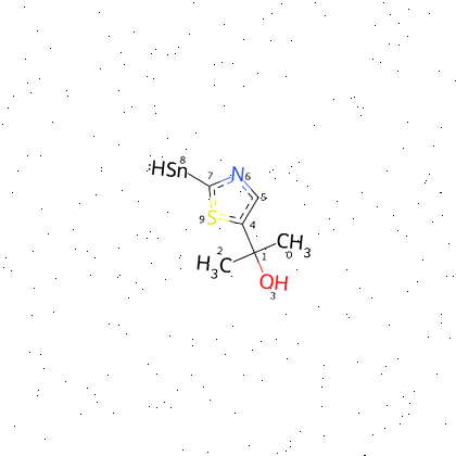 CC(C)(O)c1cn[c]([SnH])s1